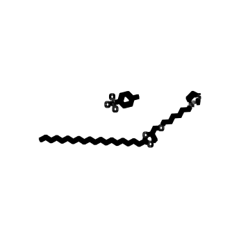 CCCCCCCCCCCCCCCCCCCC1OCC(COCCCCCC[n+]2ccsc2)O1.Cc1ccc(S(=O)(=O)[O-])cc1